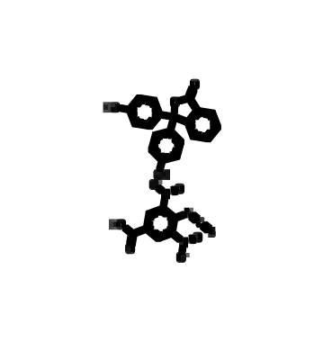 O=C(O)c1cc([N+](=O)[O-])c(N=C=S)c([N+](=O)[O-])c1.O=C1OC(c2ccc(O)cc2)(c2ccc(O)cc2)c2ccccc21